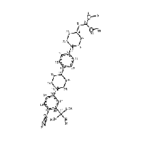 COC(CC1CCN(c2ccc(C3CCN(c4ccc(C#N)c(C(F)(F)F)c4)CC3)cc2)CC1)OC